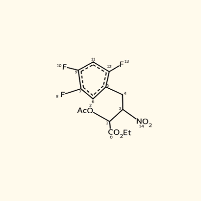 CCOC(=O)C(OC(C)=O)C(Cc1cc(F)c(F)cc1F)[N+](=O)[O-]